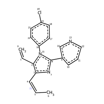 C=Cc1c(/C=C\C)nc(-c2cccnc2)n1-c1ccc(Cl)cc1